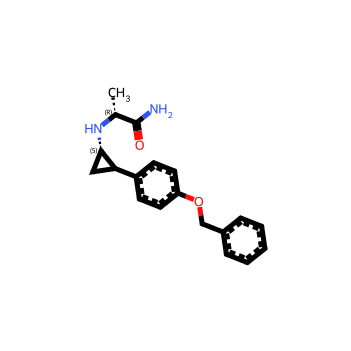 C[C@@H](N[C@H]1CC1c1ccc(OCc2ccccc2)cc1)C(N)=O